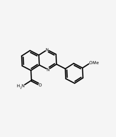 COc1cccc(-c2cnc3cccc(C(N)=O)c3n2)c1